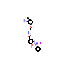 O=S(=O)(Nc1cc(C(O)CNCCOc2ccc3c(Cl)n[nH]c3c2)ccc1F)c1ccccc1